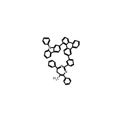 CC1=C(c2ccccc2)N=C(c2cccc(-c3ccc4c(c3)c3ccccc3c3cccc(-c5ccc6c7ccccc7n(-c7ccccc7)c6c5)c34)c2)N=C(c2ccccc2)C1